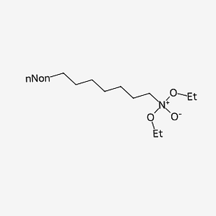 CCCCCCCCCCCCCCCC[N+]([O-])(OCC)OCC